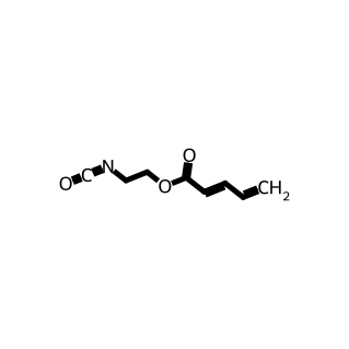 C=CC=CC(=O)OCCN=C=O